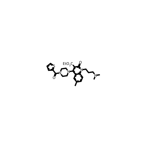 CCOC(=O)c1c(N2CCN(C(=O)c3cccs3)CC2)c2cc(C)ccc2n(CCCN(C)C)c1=O